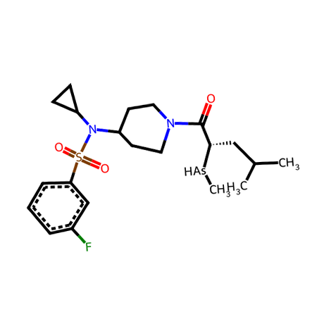 C[AsH][C@@H](CC(C)C)C(=O)N1CCC(N(C2CC2)S(=O)(=O)c2cccc(F)c2)CC1